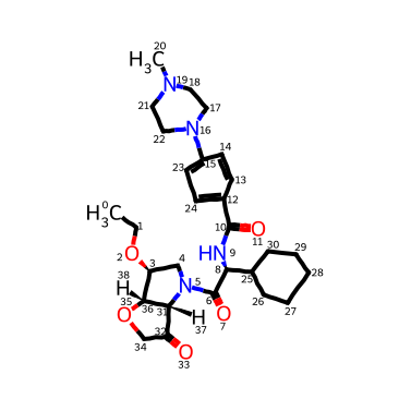 CCO[C@H]1CN(C(=O)[C@@H](NC(=O)c2ccc(N3CCN(C)CC3)cc2)C2CCCCC2)[C@@H]2C(=O)CO[C@H]12